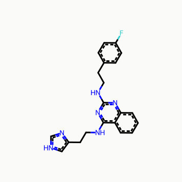 Fc1ccc(CCNc2nc(NCCc3c[nH]cn3)c3ccccc3n2)cc1